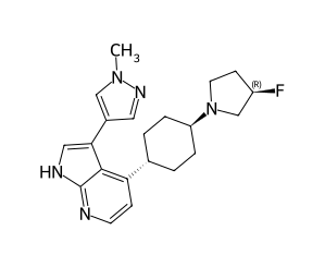 Cn1cc(-c2c[nH]c3nccc([C@H]4CC[C@H](N5CC[C@@H](F)C5)CC4)c23)cn1